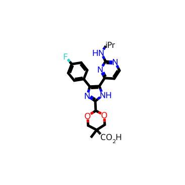 CC(C)Nc1nccc(-c2[nH]c(C3OCC(C)(C(=O)O)CO3)nc2-c2ccc(F)cc2)n1